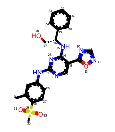 Cc1cc(Nc2ncc(-c3ncno3)c(N[C@H](CO)c3ccccc3)n2)ccc1S(C)(=O)=O